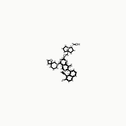 C#Cc1c(F)ccc2cccc(-c3ncc4c(N5CCCC6(CCO6)C5)nc(OC[C@@]56CCCN5[C@H](CO)CC6)nc4c3F)c12